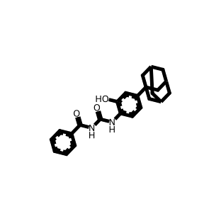 O=C(NC(=O)c1ccccc1)Nc1ccc(C23CC4CC(CC(C4)C2)C3)cc1O